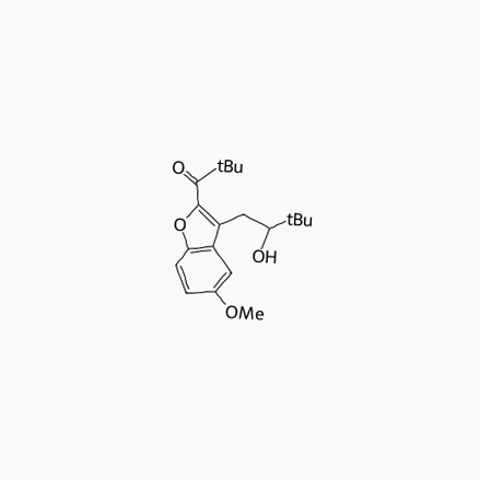 COc1ccc2oc(C(=O)C(C)(C)C)c(CC(O)C(C)(C)C)c2c1